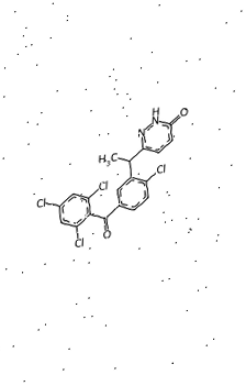 CC(c1ccc(=O)[nH]n1)c1cc(C(=O)c2c(Cl)cc(Cl)cc2Cl)ccc1Cl